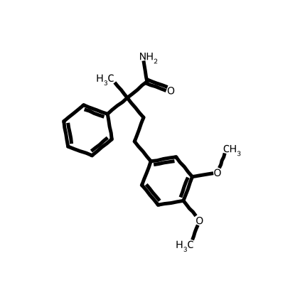 COc1ccc(CCC(C)(C(N)=O)c2ccccc2)cc1OC